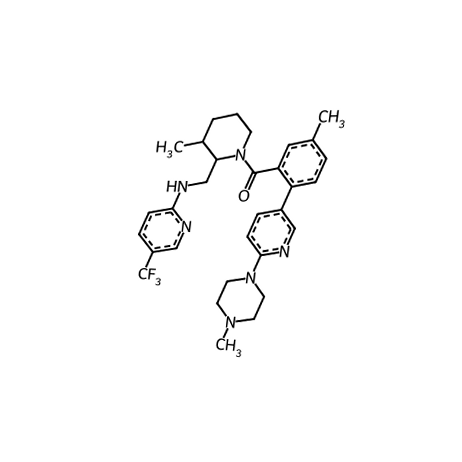 Cc1ccc(-c2ccc(N3CCN(C)CC3)nc2)c(C(=O)N2CCCC(C)C2CNc2ccc(C(F)(F)F)cn2)c1